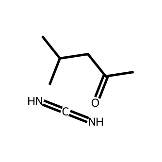 CC(=O)CC(C)C.N=C=N